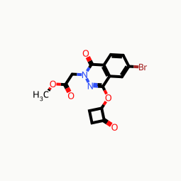 COC(=O)Cn1nc(OC2CCC2=O)c2cc(Br)ccc2c1=O